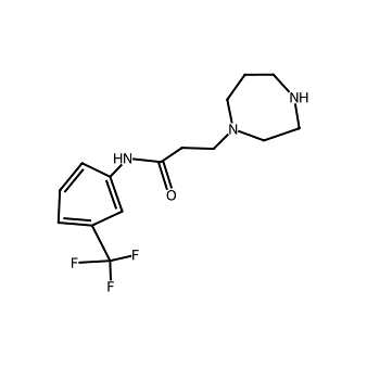 O=C(CCN1CCCNCC1)Nc1cccc(C(F)(F)F)c1